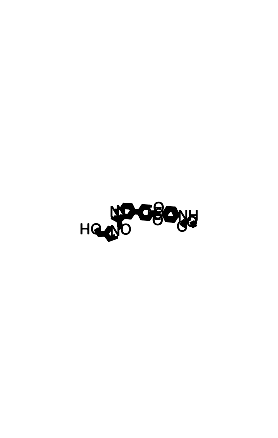 COC(=O)Nc1ccc(S(=O)(=O)N2CCC(c3ccn4ncc(C(=O)N5CCC(CO)C5)c4c3)CC2)cc1